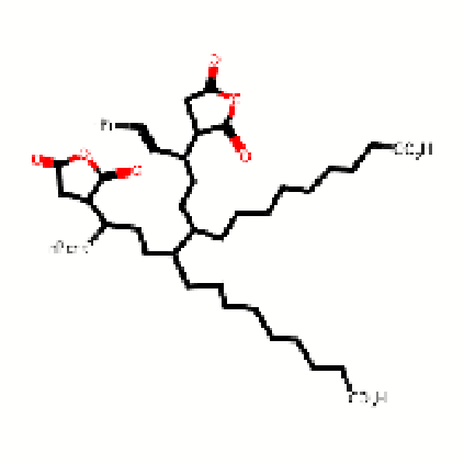 CCC/C=C/C(CCC(CCCCCCCCC(=O)O)C(CCCCCCCCC(=O)O)CCC(CCCCC)C1CC(=O)OC1=O)C1CC(=O)OC1=O